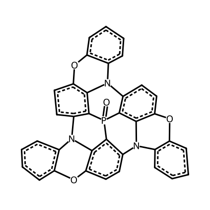 O=P12c3c4ccc5c3N(c3ccccc3O5)c3ccc5c(c31)N(c1ccccc1O5)c1ccc3c(c12)N4c1ccccc1O3